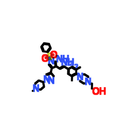 Cc1cc(/C(N)=C/c2c(-c3cnn(C4CCN(C)CC4)c3)cn(S(=O)(=O)c3ccccc3)c2N)cc(C)c1N1CCN(CCO)CC1